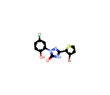 O=c1[nH]c(-c2sccc2Br)nn1-c1cc(Cl)ccc1O